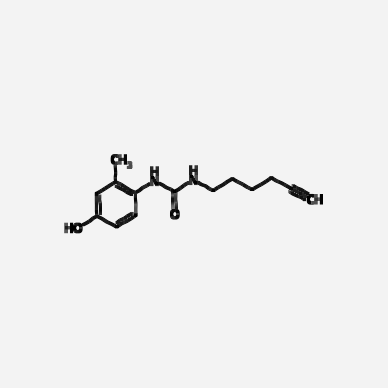 C#CCCCCNC(=O)Nc1ccc(O)cc1C